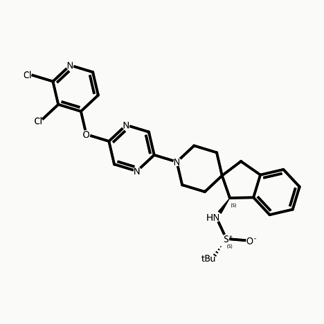 CC(C)(C)[S@@+]([O-])N[C@@H]1c2ccccc2CC12CCN(c1cnc(Oc3ccnc(Cl)c3Cl)cn1)CC2